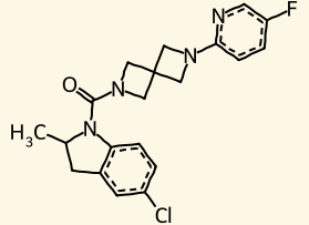 CC1Cc2cc(Cl)ccc2N1C(=O)N1CC2(C1)CN(c1ccc(F)cn1)C2